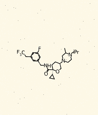 CC(C)N1CCN([C@@H]2CC[C@@](C(=O)NCc3cc(F)cc(CC(F)(F)F)c3)(C3CC3)OC2)CC1C